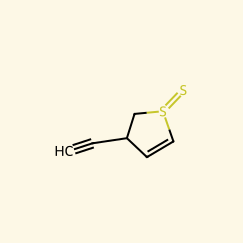 C#CC1C=CS(=S)C1